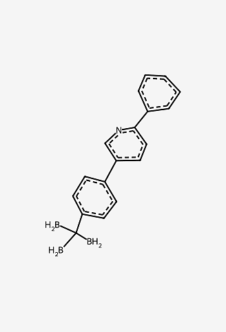 BC(B)(B)c1ccc(-c2ccc(-c3ccccc3)nc2)cc1